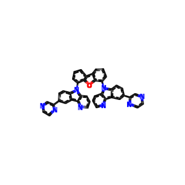 c1cc(-n2c3ccc(-c4cnccn4)cc3c3ncccc32)c2oc3c(-n4c5ccc(-c6cnccn6)cc5c5ncccc54)cccc3c2c1